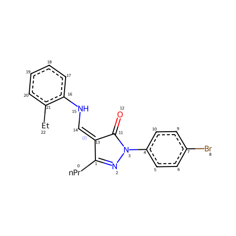 CCCC1=NN(c2ccc(Br)cc2)C(=O)/C1=C\Nc1ccccc1CC